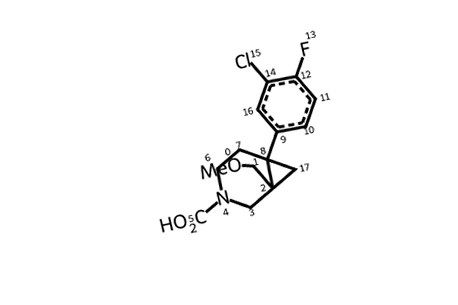 COCC12CN(C(=O)O)CCC1(c1ccc(F)c(Cl)c1)C2